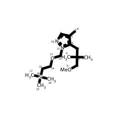 COCC(C)(C)Cc1c(I)cnn1COCC[Si](C)(C)C